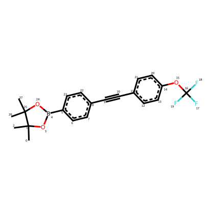 CC1(C)OB(c2ccc(C#Cc3ccc(OC(F)(F)F)cc3)cc2)OC1(C)C